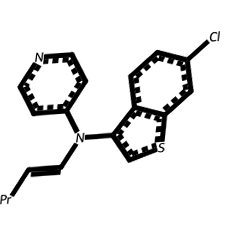 CC(C)/C=C/N(c1ccncc1)c1csc2cc(Cl)ccc12